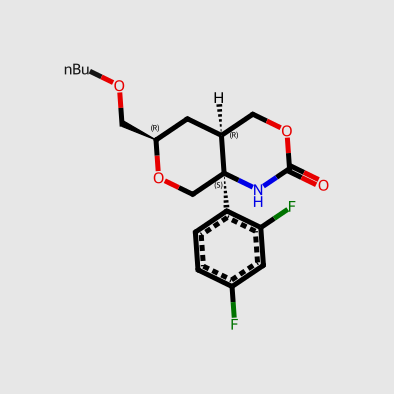 CCCCOC[C@H]1C[C@H]2COC(=O)N[C@@]2(c2ccc(F)cc2F)CO1